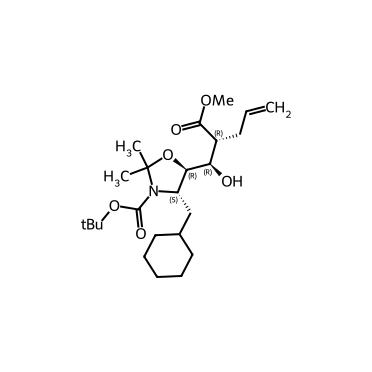 C=CC[C@@H](C(=O)OC)[C@@H](O)[C@@H]1OC(C)(C)N(C(=O)OC(C)(C)C)[C@H]1CC1CCCCC1